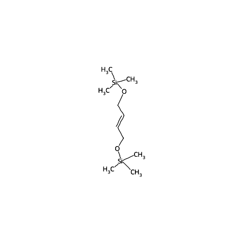 C[Si](C)(C)OCC=CCO[Si](C)(C)C